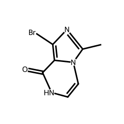 Cc1nc(Br)c2c(=O)[nH]ccn12